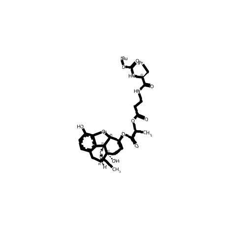 CC(C)C[C@H](NC(=O)OC(C)(C)C)C(=O)NCCC(=O)OC(C)C(=O)OC1=CC[C@@]2(O)[C@H]3Cc4ccc(O)c5c4[C@@]2(CCN3C)[C@H]1O5